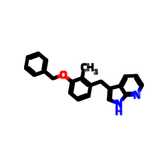 Cc1c(Cc2c[nH]c3ncccc23)cccc1OCc1ccccc1